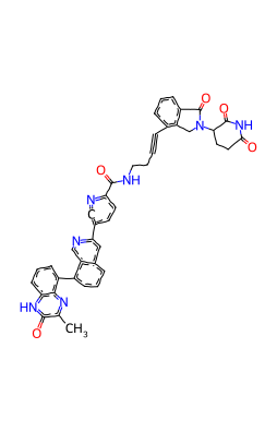 Cc1nc2c(-c3cccc4cc(-c5ccc(C(=O)NCCC#Cc6cccc7c6CN(C6CCC(=O)NC6=O)C7=O)nc5)ncc34)cccc2[nH]c1=O